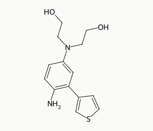 Nc1ccc(N(CCO)CCO)cc1-c1ccsc1